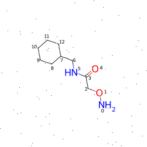 NOCC(=O)NCC1CCCCC1